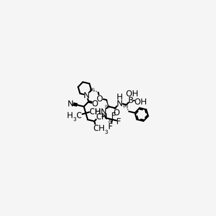 CC(C)CC(C)(C)C(C#N)C(=O)N1CCCC[C@@H]1COC[C@H](NCC(F)(F)F)C(=O)N[C@@H](Cc1ccccc1)B(O)O